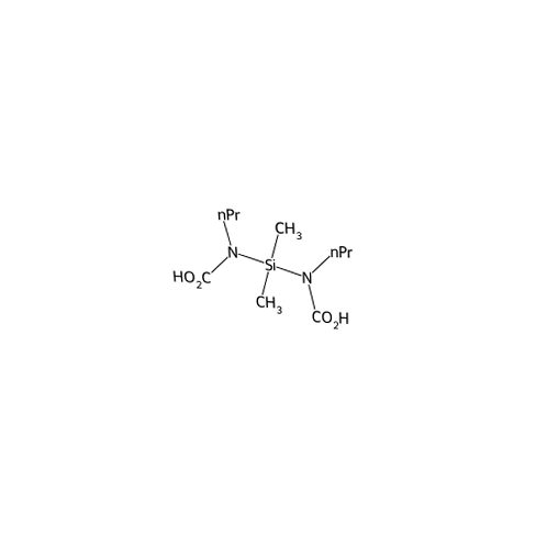 CCCN(C(=O)O)[Si](C)(C)N(CCC)C(=O)O